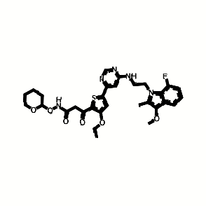 CCOc1cc(-c2cc(NCCn3c(C)c(OC)c4cccc(F)c43)ncn2)sc1C(=O)CC(=O)NOC1CCCCO1